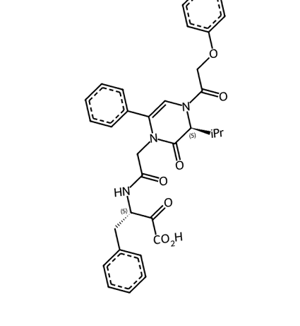 CC(C)[C@H]1C(=O)N(CC(=O)N[C@@H](Cc2ccccc2)C(=O)C(=O)O)C(c2ccccc2)=CN1C(=O)COc1ccccc1